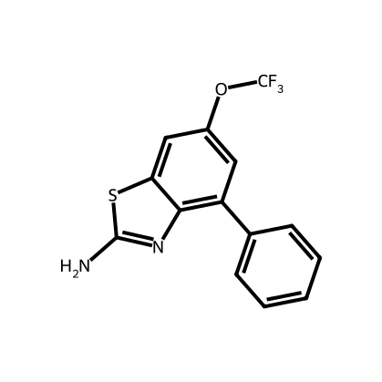 Nc1nc2c(-c3ccccc3)cc(OC(F)(F)F)cc2s1